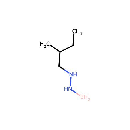 BNNCC(C)CC